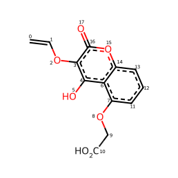 C=COc1c(O)c2c(OCC(=O)O)cccc2oc1=O